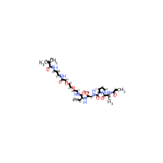 C=CC(=O)N[C@@H](C)C(=O)N1CCC[C@H]1C(=O)NCC(=O)NC(CC(C)C)C(=O)NCCOCCOCC(=O)NCCCNC(=O)C(=C)C